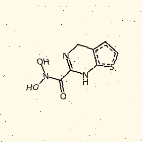 O=C(C1=NCc2ccsc2N1)N(O)O